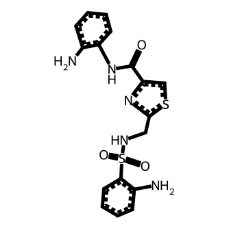 Nc1ccccc1NC(=O)c1csc(CNS(=O)(=O)c2ccccc2N)n1